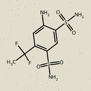 CC(F)(F)c1cc(N)c(S(N)(=O)=O)cc1S(N)(=O)=O